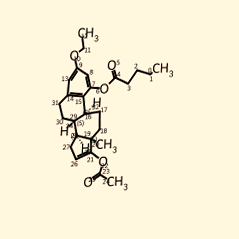 CCCCC(=O)Oc1cc(OCC)cc2c1[C@H]1CC[C@]3(C)C(OC(C)=O)=CC[C@H]3[C@@H]1CC2